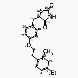 CCC1=CC=C(CCOc2ccc(CC3SC(=O)NC3=O)cc2)N(C)C1